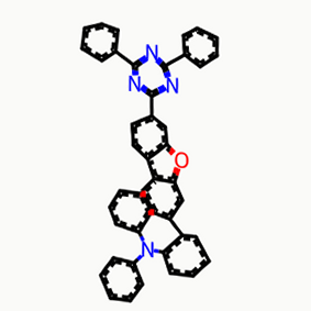 c1ccc(-c2nc(-c3ccccc3)nc(-c3ccc4c(c3)oc3cc(-c5ccccc5N(c5ccccc5)c5ccccc5)ccc34)n2)cc1